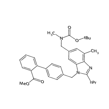 CCCc1nc2c(C)cc(CN(C)C(=O)OC(C)(C)C)cc2n1Cc1ccc(-c2ccccc2C(=O)OC)cc1